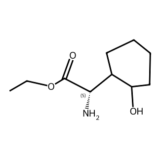 CCOC(=O)[C@@H](N)C1CCCCC1O